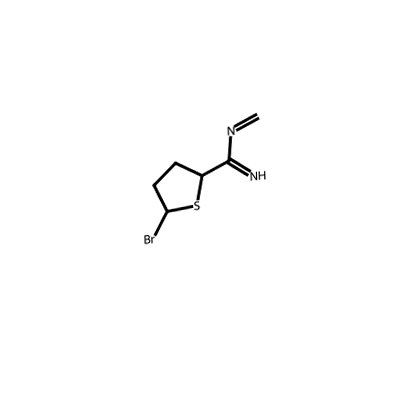 C=NC(=N)C1CCC(Br)S1